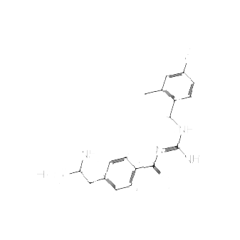 Cc1cc(Cl)ccc1CNC(N)=NC(=O)c1ccc(CC(N)C(=O)O)cc1